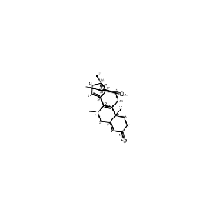 C[C@@H]1CC2=CC(=O)CCC2(C)C2=C1C1=CC[C@@]3(C)CCC(=O)C13CC2